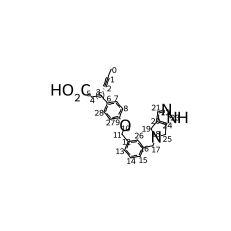 CC#C[C@@H](CC(=O)O)c1ccc(OCc2cccc(CN3Cc4cn[nH]c4C3)c2)cc1